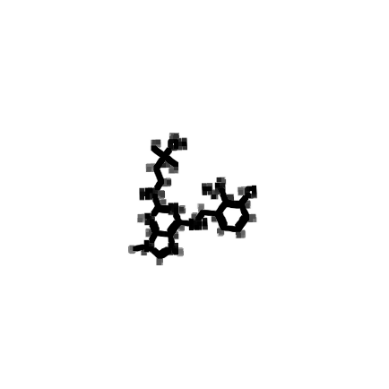 Cn1cnc2c(NCc3cccc(Cl)c3N)nc(NCCC(C)(C)O)nc21